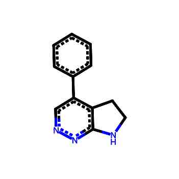 c1ccc(-c2cnnc3c2CCN3)cc1